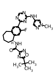 Cn1cc(Nc2ncnc(-c3cc4c(cc3F)[C@H](NC(=O)c3noc(C(C)(C)C)n3)CCCC4)n2)cn1